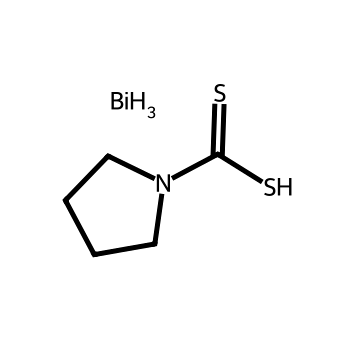 S=C(S)N1CCCC1.[BiH3]